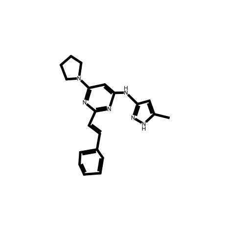 Cc1cc(Nc2cc(N3CCCC3)nc(/C=C/c3ccccc3)n2)n[nH]1